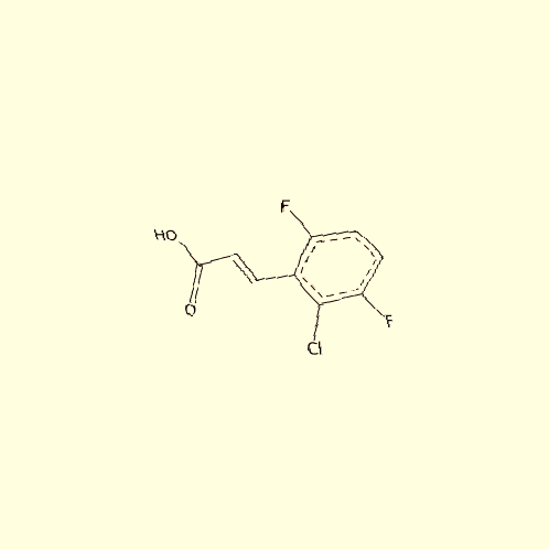 O=C(O)C=Cc1c(F)ccc(F)c1Cl